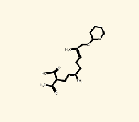 CC(=O)C(CC=C(C)CCC=C(C)COC1CCCCO1)C(=O)O